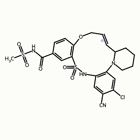 CS(=O)(=O)NC(=O)c1ccc2c(c1)S(=O)(=O)Nc1cc(C#N)c(Cl)cc1N1CCCCC1/C=C/CO2